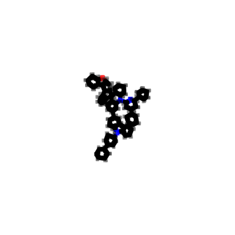 c1ccc(-c2ccc(-n3c4ccccc4c4cc(-c5ccc6c(c5)N(c5cc(-c7ccccc7)cc(-c7ccccc7)n5)c5ccccc5C65c6ccccc6-c6c5ccc5oc7ccccc7c65)ccc43)cc2)cc1